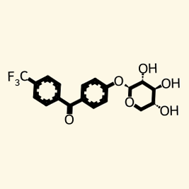 O=C(c1ccc(O[C@H]2OC[C@@H](O)[C@H](O)[C@H]2O)cc1)c1ccc(C(F)(F)F)cc1